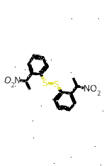 CC(c1ccccc1SSc1ccccc1C(C)[N+](=O)[O-])[N+](=O)[O-]